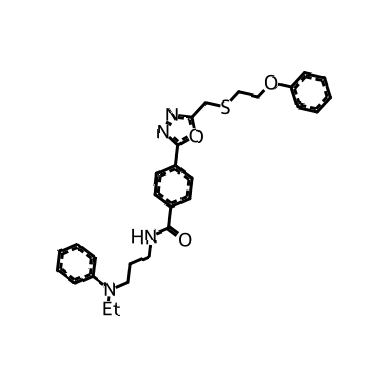 CCN(CCCNC(=O)c1ccc(-c2nnc(CSCCOc3ccccc3)o2)cc1)c1ccccc1